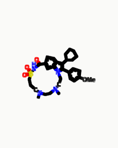 COc1ccc(-c2c(C3CCCCC3)c3ccc4cc3n2CCN(C)CCN(C)CCCS(=O)(=O)NC4=O)cc1